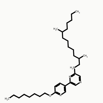 CCCCCCCCOc1ccc(-c2cncc([SiH2]CC(C)CCCCCC(C)CCCCC)n2)cn1